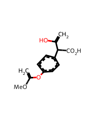 C=C(OC)Oc1ccc(C(C(=C)O)C(=O)O)cc1